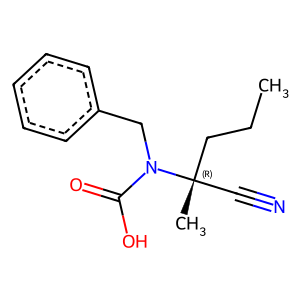 CCC[C@](C)(C#N)N(Cc1ccccc1)C(=O)O